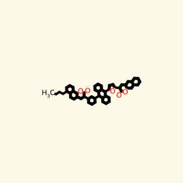 CCCCc1cccc2c1ccc1cc(-c3cccc(-c4c5ccccc5c(-c5ccc(-c6cc7cc8ccccc8cc7oc6=O)o5)c5ccccc45)c3)c(=O)oc12